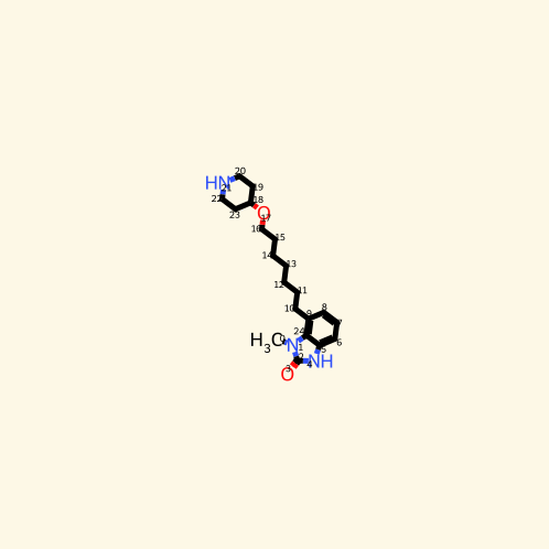 Cn1c(=O)[nH]c2cccc(CCCCCCCOC3CCNCC3)c21